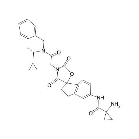 C[C@@H](C1CC1)N(Cc1ccccc1)C(=O)CN1C(=O)OC2(CCc3cc(NC(=O)C4(N)CC4)ccc32)C1=O